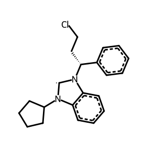 ClCC[C@H](c1ccccc1)N1[CH]N(C2CCCC2)c2ccccc21